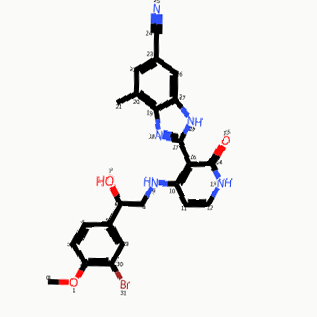 COc1ccc(C(O)CNc2cc[nH]c(=O)c2-c2nc3c(C)cc(C#N)cc3[nH]2)cc1Br